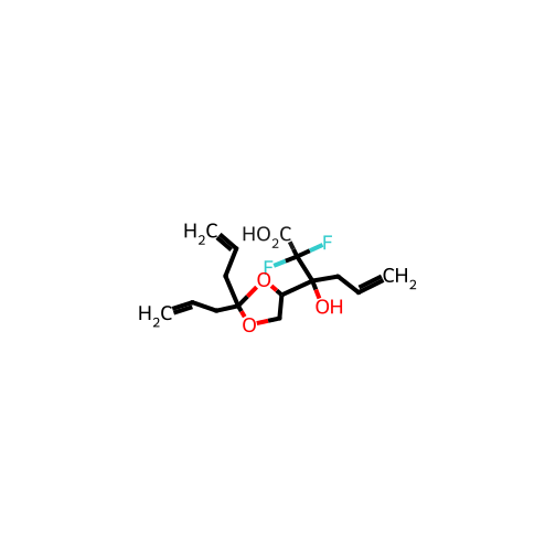 C=CCC1(CC=C)OCC(C(O)(CC=C)C(F)(F)C(=O)O)O1